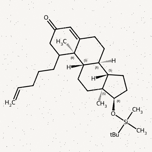 C=CCCCC1CC(=O)C=C2CC[C@H]3[C@@H]4CC[C@@H](O[Si](C)(C)C(C)(C)C)[C@@]4(C)CC[C@@H]3[C@]21C